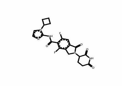 O=C1CCC(N2Cc3c(cc(F)c(C(=O)Nc4nccn4C4CCC4)c3F)C2=O)C(=O)N1